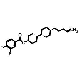 C=CCCC[C@H]1CC[C@H]([C@H]2CC[C@H](OC(=O)c3ccc(F)c(F)c3)CC2)CC1